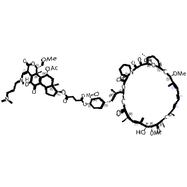 COC[C@H]1OC(=O)/C(=C/N(C)CCCN(C)C)C2=C(O)C(=O)C3=C([C@H](OC(C)=O)C[C@@]4(C)C3CC[C@@H]4OC(=O)CCC(=O)O[C@@H]3CC[C@@H](C[C@@H](C)[C@@H]4CC(=O)[C@H](C)/C=C(\C)[C@@H](O)[C@@H](OC)C(=O)[C@H](C)C[C@H](C)/C=C/C=C/C=C(\C)[C@@H](OC)C[C@@H]5CC[C@@H](C)[C@@](O)(O5)C(=O)C(=O)N5CCCC[C@H]5C(=O)O4)C[C@H]3OC)[C@]21C